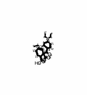 CCOc1cc(N(CC)CC)ccc1C(=O)C1(C(=O)O)C=CC=CC1C(=O)O